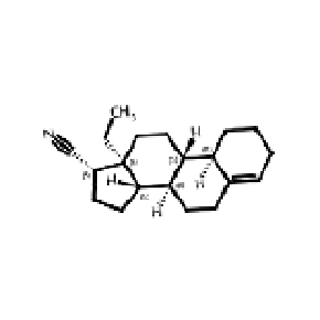 CC[C@]12CC[C@H]3[C@@H](CCC4=CCCC[C@@H]43)[C@@H]1CC[C@@H]2C#N